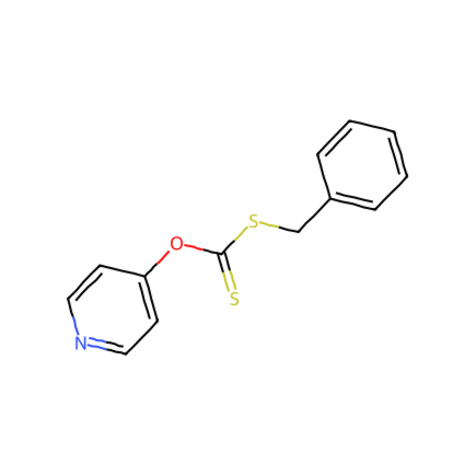 S=C(Oc1ccncc1)SCc1ccccc1